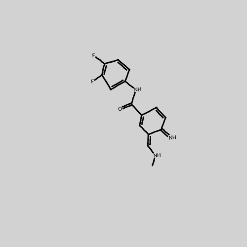 CN/C=C1/C=C(C(=O)Nc2ccc(F)c(F)c2)C=CC1=N